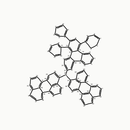 C1=CCCC(c2cc(-c3ccccc3)c(-c3ccccc3)c3c4ccc(N(c5ccc6c7cccc8cccc(c9cccc5c96)c87)c5ccc6c7cccc8cccc(c9cccc5c96)c87)cc4c4ccccc4c23)=C1